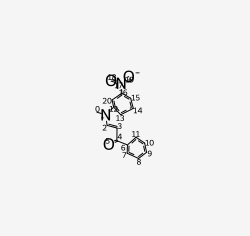 CN(/C=C/C(=O)c1ccccc1)c1cccc([N+](=O)[O-])c1